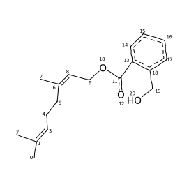 CC(C)=CCCC(C)=CCOC(=O)c1ccccc1CO